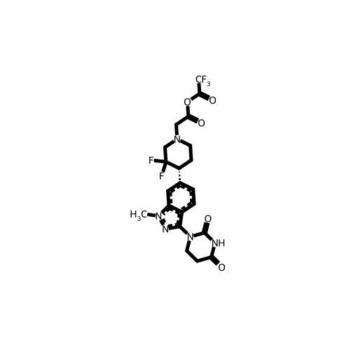 Cn1nc(N2CCC(=O)NC2=O)c2ccc([C@H]3CCN(CC(=O)OC(=O)C(F)(F)F)CC3(F)F)cc21